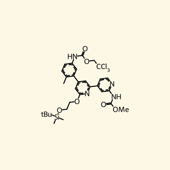 COC(=O)Nc1cc(-c2cc(-c3cc(NC(=O)OCC(Cl)(Cl)Cl)ccc3C)cc(OCCO[Si](C)(C)C(C)(C)C)n2)ccn1